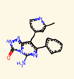 Cc1cc(-c2c(-c3ccccc3)nc(N)n3c(=O)[nH]nc23)ccn1